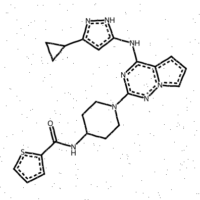 O=C(NC1CCN(c2nc(Nc3cc(C4CC4)n[nH]3)c3cccn3n2)CC1)c1cccs1